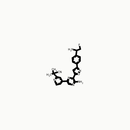 CC(C)(C#N)c1cc(-c2cnc(N)c(-c3cc(-c4ccc(C(N)CF)cc4)no3)n2)ccn1